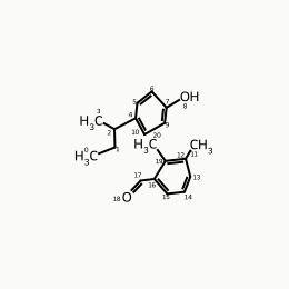 CCC(C)c1ccc(O)cc1.Cc1cccc(C=O)c1C